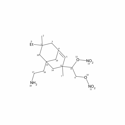 CCC1(C)CC2=CC(C)(C(CO[N+](=O)[O-])O[N+](=O)[O-])CC(CCN)(C2)C1